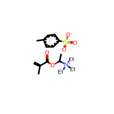 C=C(C)C(=O)OC(C)[N+](CC)(CC)CC.Cc1ccc(S(=O)(=O)[O-])cc1